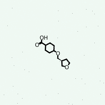 O=C(O)C1CCC(OC[C@H]2CCOC2)CC1